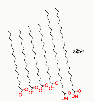 CCCCCCCCCCCCCCCC(=O)[O-].CCCCCCCCCCCCCCCC(=O)[O-].CCCCCCCCCCCCCCCC(=O)[O-].CCCCCCCCCCCCCCCC(=O)[O-].CCCCCCCCCCCCCCCCCCCCCC(=O)O.CCCCCCCCCCCCCCCCCCCCCC(=O)O.[Zn+2].[Zn+2]